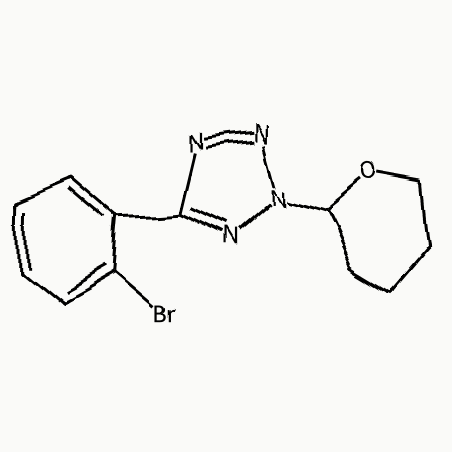 Brc1ccccc1-c1nnn(C2CCCCO2)n1